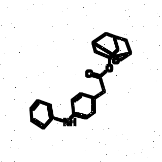 O=C(Cc1ccc(Nc2ccccc2)cc1)OC12CC3CC(C1)C(=O)C(C3)C2